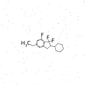 CCc1cc(F)c2c(c1)CC(C1CCCCC1)C2(F)F